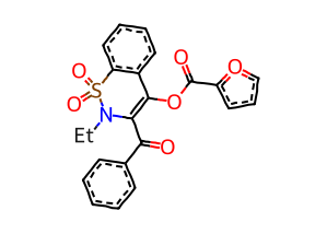 CCN1C(C(=O)c2ccccc2)=C(OC(=O)c2ccco2)c2ccccc2S1(=O)=O